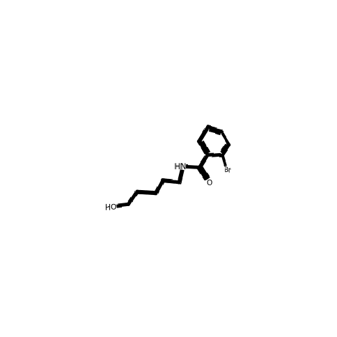 O=C(NCCCCCO)c1ccccc1Br